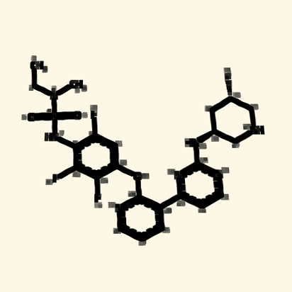 CCN(C)S(=O)(=O)Nc1c(F)cc(Oc2ncccc2-c2ccnc(N[C@@H]3CNC[C@@H](F)C3)n2)c(F)c1F